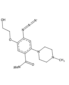 CNC(=O)c1cc(OCCO)c(N=[N+]=[N-])cc1N1CCN(C)CC1